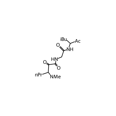 CCCC(NC)C(=O)C(=O)NCC(=O)NC(C(C)=O)C(C)CC